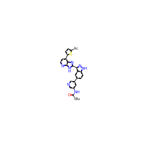 CC(=O)c1ccc(-c2ccnc3[nH]c(-c4n[nH]c5ccc(-c6cncc(NC(=O)C(C)(C)C)c6)cc45)nc23)s1